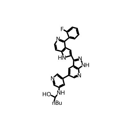 CCCCC(O)Nc1cncc(-c2cnc3[nH]nc(-c4cc5c(-c6ccccc6F)nccc5[nH]4)c3c2)c1